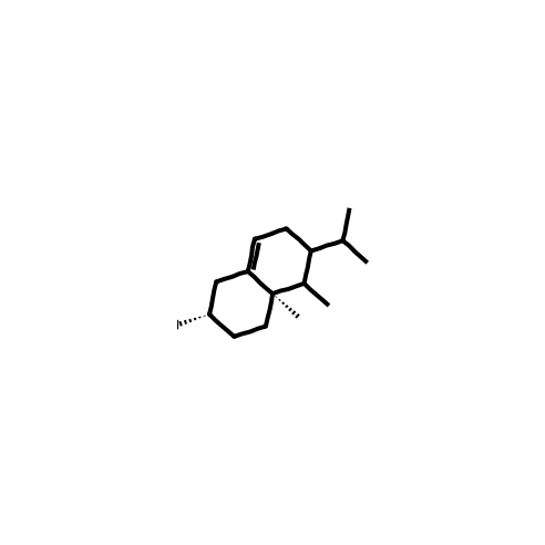 CC(C)C1CC=C2C[C@@H](I)CC[C@]2(C)C1C